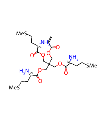 C=CC(=O)OCC(COC(=O)[C@@H](N)CCSC)(COC(=O)[C@@H](N)CCSC)COC(=O)[C@@H](N)CCSC